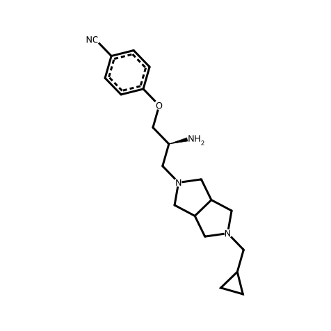 N#Cc1ccc(OC[C@@H](N)CN2CC3CN(CC4CC4)CC3C2)cc1